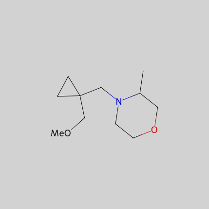 COCC1(CN2CCOCC2C)CC1